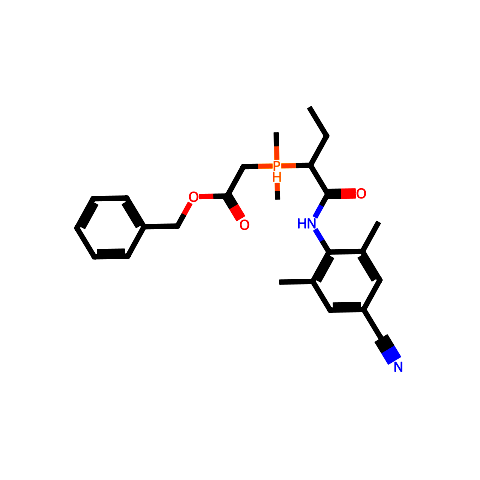 CCC(C(=O)Nc1c(C)cc(C#N)cc1C)[PH](C)(C)CC(=O)OCc1ccccc1